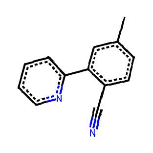 Cc1ccc(C#N)c(-c2ccccn2)c1